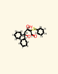 O=C1OC(c2ccccc2)(c2ccccc2)CC(O)=C1Sc1ccccc1